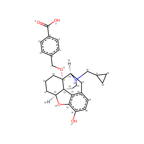 O=C(O)c1ccc(CO[C@@]23CCC[C@@H]4Oc5c(O)ccc6c5[C@@]42CCN(CC2CC2)[C@@H]3C6)cc1